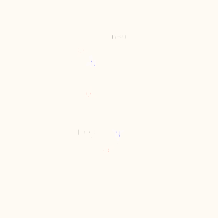 CC=CC=CC(=O)N1CCc2ccc(OCCc3coc(C=CCCCC)n3)cc2C1C(=O)O